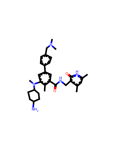 Cc1cc(C)c(CNC(=O)c2cc(-c3ccc(CN(C)C)cc3)cc(N(C)C3CCC(N)CC3)c2C)c(=O)[nH]1